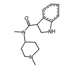 CN1CCC(N(C)C(=O)C2CNc3ccccc32)CC1